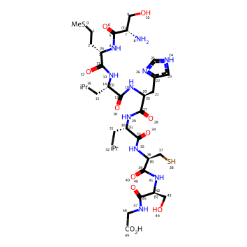 CSCC[C@H](NC(=O)[C@@H](N)CO)C(=O)N[C@@H](CC(C)C)C(=O)N[C@@H](Cc1c[nH]cn1)C(=O)N[C@@H](CC(C)C)C(=O)N[C@@H](CS)C(=O)N[C@@H](CO)C(=O)NCC(=O)O